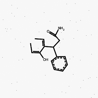 C/C=C(\C(O)=C/C)C(CC(N)=O)c1ccccc1